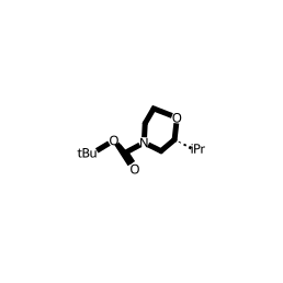 CC(C)[C@@H]1CN(C(=O)OC(C)(C)C)CCO1